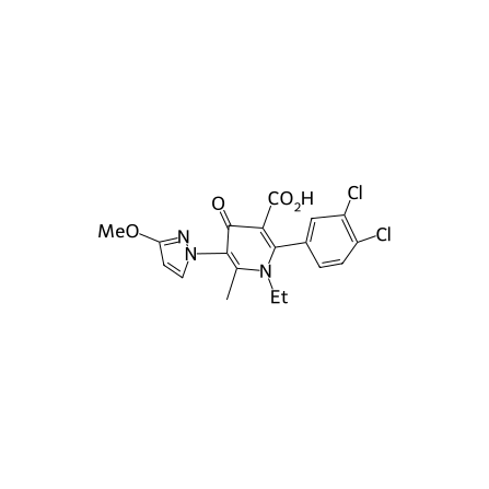 CCn1c(C)c(-n2ccc(OC)n2)c(=O)c(C(=O)O)c1-c1ccc(Cl)c(Cl)c1